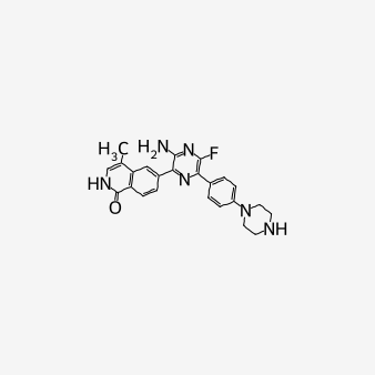 Cc1c[nH]c(=O)c2ccc(-c3nc(-c4ccc(N5CCNCC5)cc4)c(F)nc3N)cc12